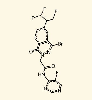 O=C(Cn1nc(Br)c2cc(C(CF)C(F)F)ccc2c1=O)Nc1ncncc1F